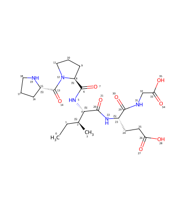 CC[C@H](C)[C@H](NC(=O)[C@@H]1CCCN1C(=O)[C@@H]1CCCN1)C(=O)N[C@@H](CCC(=O)O)C(=O)NCC(=O)O